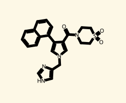 O=C(c1cn(Cc2c[nH]cn2)cc1-c1cccc2ccccc12)N1CCS(=O)(=O)CC1